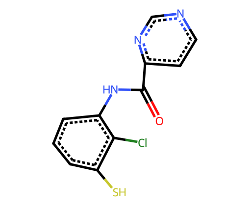 O=C(Nc1cccc(S)c1Cl)c1ccncn1